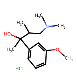 COc1cccc(C(C)(O)C(C)CN(C)C)c1.Cl